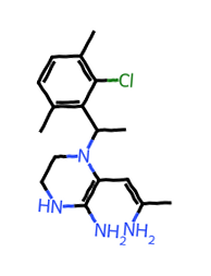 C/C(N)=C/C1=C(N)NCCN1C(C)c1c(C)ccc(C)c1Cl